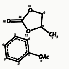 CC(=O)Oc1ccccc1.CC1COC(=O)O1